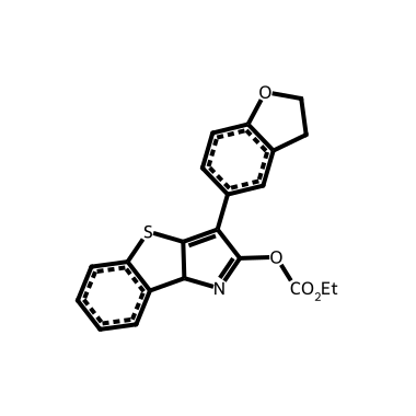 CCOC(=O)OC1=NC2C(=C1c1ccc3c(c1)CCO3)Sc1ccccc12